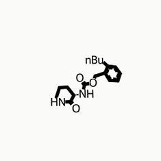 CCCCc1ccccc1COC(=O)N[C@H]1CCCNC1=O